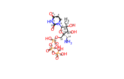 C[C@]1(O)C(n2ccc(=O)[nH]c2=O)O[C@](CN)(COP(=O)(O)OP(=O)(O)OP(=O)(O)O)[C@H]1O